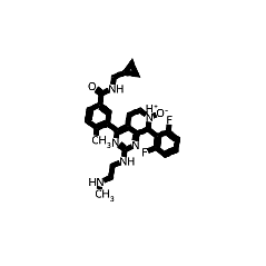 CNCCNc1nc(-c2cc(C(=O)NCC3CC3)ccc2C)c2c(n1)C(c1c(F)cccc1F)[NH+]([O-])CC2